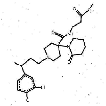 [CH2]C(CCN1CCC(C(=O)NCCC(=O)OC)(N2CCCCC2=O)CC1)c1ccc(Cl)c(Cl)c1